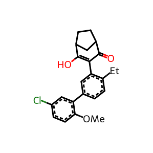 CCc1ccc(-c2cc(Cl)ccc2OC)cc1C1=C(O)C2CCC(C2)C1=O